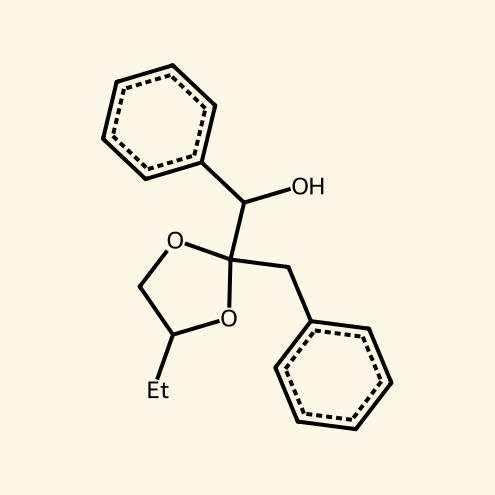 CCC1COC(Cc2ccccc2)(C(O)c2ccccc2)O1